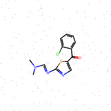 CN(C)C=Nc1ncc(C(=O)c2ccccc2Cl)s1